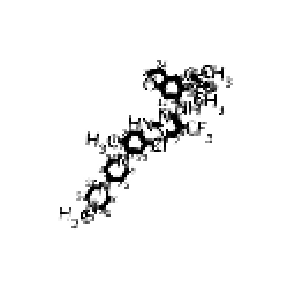 Cc1cc(Nc2ncc(C(F)(F)F)c(Nc3cc4c(cc3N(C)S(C)(=O)=O)CCO4)n2)c(Cl)cc1N1CCC(N2CCN(C)CC2)CC1